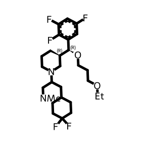 CCOCCCO[C@@H](c1cc(F)cc(F)c1F)[C@@H]1CCCN(C(CNC)CC2CCC(F)(F)CC2)C1